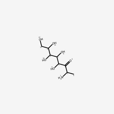 CC(N)C(=O)C(O)C(O)C(O)C(O)CO